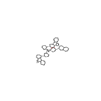 c1cc(-c2cccc3sc4ccccc4c23)cc(N(c2ccc(-c3ccc4ccccc4c3)cc2)c2ccccc2-c2ccc3oc4ccccc4c3c2)c1